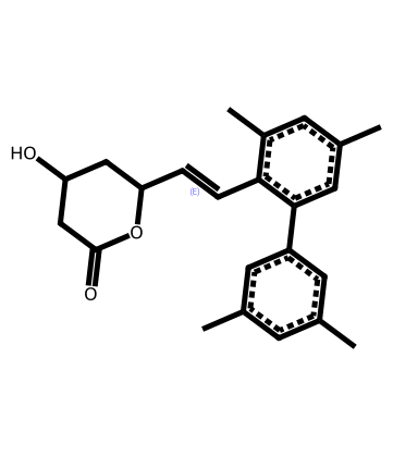 Cc1cc(C)cc(-c2cc(C)cc(C)c2/C=C/C2CC(O)CC(=O)O2)c1